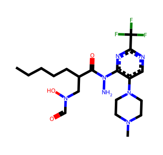 CCCCCC(CN(O)C=O)C(=O)N(N)c1nc(C(F)(F)F)ncc1N1CCN(C)CC1